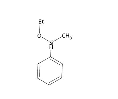 CCO[SiH](C)c1ccccc1